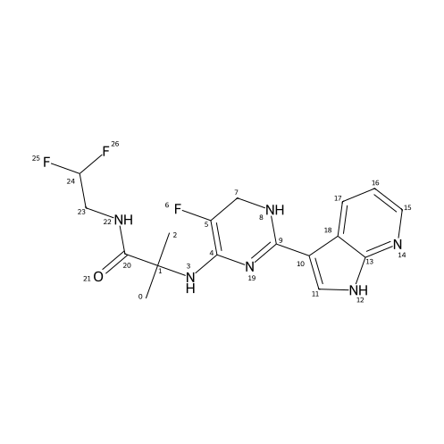 CC(C)(NC1=C(F)CNC(c2c[nH]c3ncccc23)=N1)C(=O)NCC(F)F